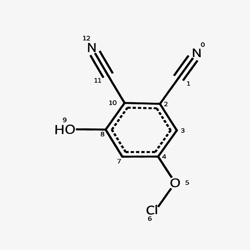 N#Cc1cc(OCl)cc(O)c1C#N